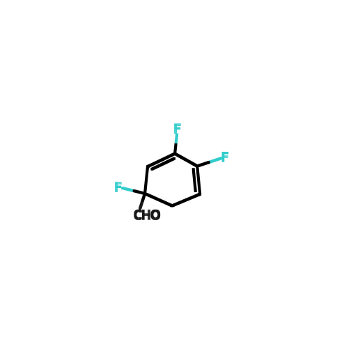 O=CC1(F)C=C(F)C(F)=CC1